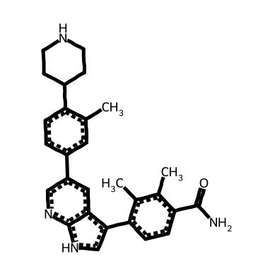 Cc1cc(-c2cnc3[nH]cc(-c4ccc(C(N)=O)c(C)c4C)c3c2)ccc1C1CCNCC1